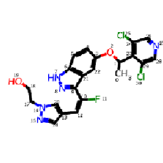 CC(Oc1ccc2[nH]nc(/C(F)=C\c3cnn(CCO)c3)c2c1)c1c(Cl)cncc1Cl